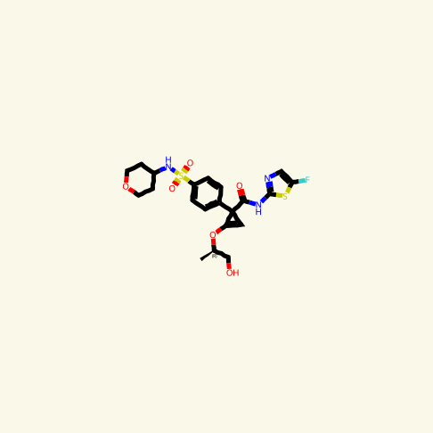 C[C@H](CO)OC1=CC1(C(=O)Nc1ncc(F)s1)c1ccc(S(=O)(=O)NC2CCOCC2)cc1